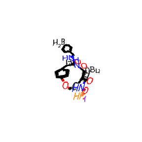 Bc1ccc(CNC(=O)[C@@H]2Cc3ccc(cc3)OCCC[C@H](C(=O)NOPI)[C@@H](CCCC)C(=O)N2)cc1